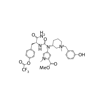 COC(=O)c1cc(/[N+](C(=O)N[C@@H](Cc2ccc(OC(=O)C(F)(F)F)cc2)C(N)=O)=C2/CCC[N+](C)(Cc3cccc(O)c3)C2)cn1C